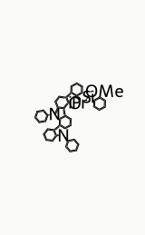 CO[Si](c1ccccc1)(c1cccc2c1oc1c2ccc2c1c1ccc3c(c4ccccc4n3-c3ccccc3)c1n2-c1ccccc1)C(C)C